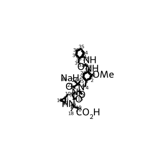 COc1cc(CN2C(=O)N([C@@H](CC3CC3)C(=O)N[C@H](C)CC(=O)O)C(=O)C2(C)C)ccc1NC(=O)Nc1ccccc1C.[NaH]